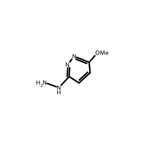 COc1ccc(NN)nn1